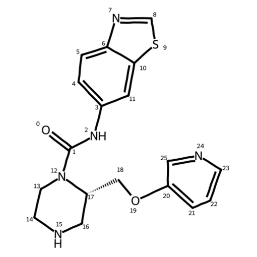 O=C(Nc1ccc2ncsc2c1)N1CCNC[C@H]1COc1cccnc1